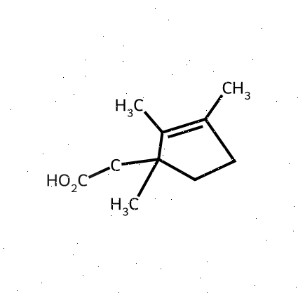 CC1=C(C)C(C)(CC(=O)O)CC1